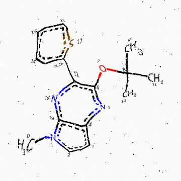 Cn1ccc2nc(OC(C)(C)C)c(-c3cccs3)nc21